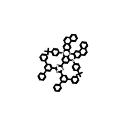 CC(C)(C)c1ccc(N2c3cc4ccc5ccccc5c4cc3B3c4cc5c(ccc6ccccc65)cc4N(c4ccc(C(C)(C)C)cc4)c4cc(-c5nc(-c6cc(-c7ccccc7)cc(-c7ccccc7)c6)nc(-c6cc(-c7ccccc7)cc(-c7ccccc7)c6)n5)cc2c43)cc1